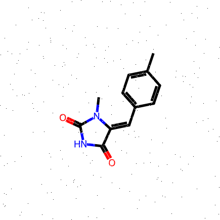 Cc1ccc(C=C2C(=O)NC(=O)N2C)cc1